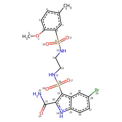 COc1ccc(C)cc1S(=O)(=O)NCCNS(=O)(=O)c1c(C(N)=O)[nH]c2ccc(Br)cc12